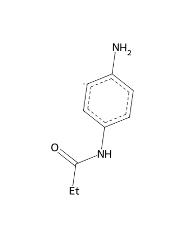 CCC(=O)Nc1c[c]c(N)cc1